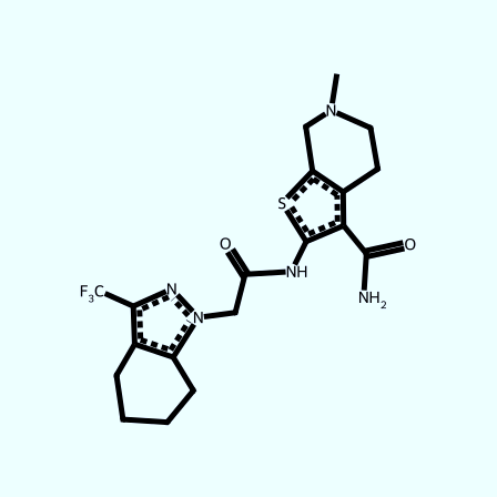 CN1CCc2c(sc(NC(=O)Cn3nc(C(F)(F)F)c4c3CCCC4)c2C(N)=O)C1